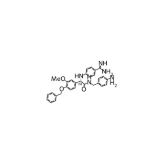 COc1cc([C@H](Nc2ccc(C(=N)N)cc2)C(=O)NCc2ccc(N)cc2)ccc1OCc1ccccc1